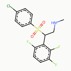 CNCC(c1c(F)ccc(F)c1F)S(=O)(=O)c1ccc(Cl)cc1